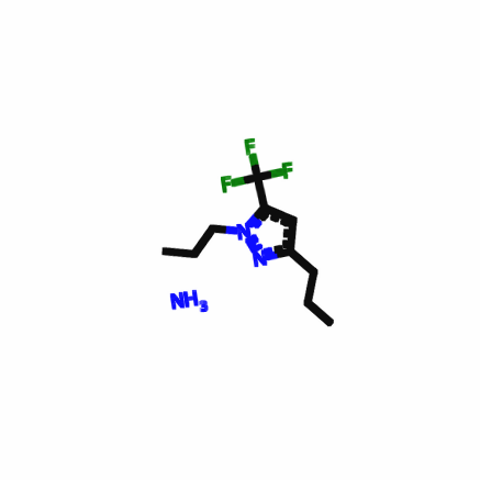 CCCc1cc(C(F)(F)F)n(CCC)n1.N